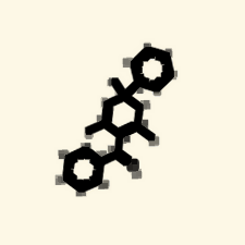 CC1=CC(C)(c2ccccc2)CC(C)=C1C(=O)c1ccccc1